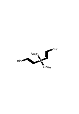 CCCC=C[Si](C=CCCC)(OC)OC